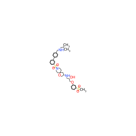 CC(C)CNCc1ccc(-c2cccc(S(=O)(=O)N3CCC4(CC3)CC(NC[C@H](O)COc3cccc(S(C)(=O)=O)c3)CO4)c2)cc1